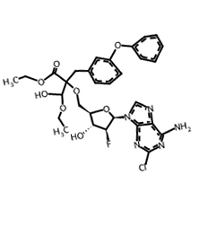 CCOC(=O)C(Cc1cccc(Oc2ccccc2)c1)(OC[C@H]1O[C@@H](n2cnc3c(N)nc(Cl)nc32)[C@@H](F)[C@@H]1O)C(O)OCC